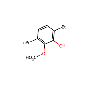 CCCc1ccc(CC)c(O)c1OC(=O)O